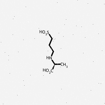 C[C@H](NCCCS(=O)(=O)O)C(=O)O